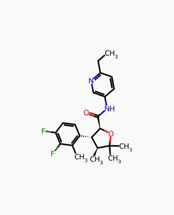 CCc1ccc(NC(=O)[C@H]2OC(C)(C)[C@@H](C)[C@@H]2c2ccc(F)c(F)c2C)cn1